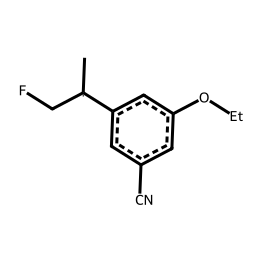 CCOc1cc(C#N)cc([C](C)CF)c1